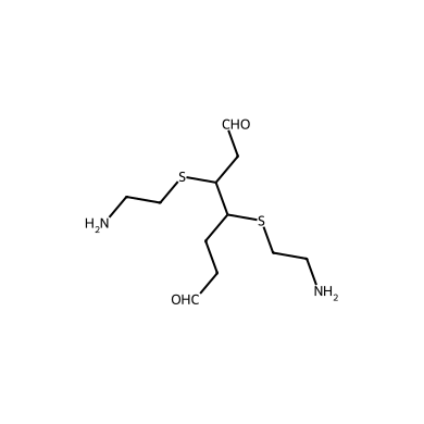 NCCSC(CC=O)C(CCC=O)SCCN